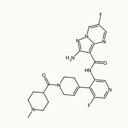 CN1CCC(C(=O)N2CC=C(c3c(F)cncc3NC(=O)c3c(N)nn4cc(F)cnc34)CC2)CC1